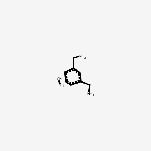 N#CS.NCc1cccc(CN)c1